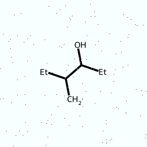 [CH2]C(CC)C(O)CC